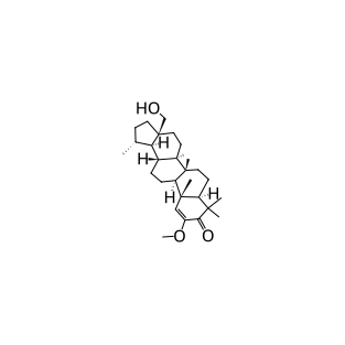 COC1=C[C@]2(C)[C@H]3CC[C@@H]4[C@H]5[C@H](C)CC[C@]5(CO)CC[C@@]4(C)[C@]3(C)CC[C@H]2C(C)(C)C1=O